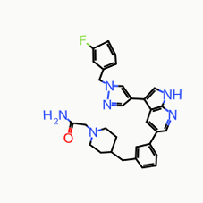 NC(=O)CN1CCC(Cc2cccc(-c3cnc4[nH]cc(-c5cnn(Cc6cccc(F)c6)c5)c4c3)c2)CC1